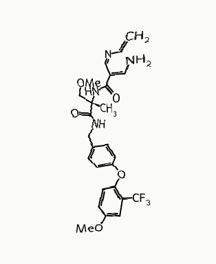 C=C/N=C\C(=C/N)C(=O)N[C@@](C)(COC)C(=O)NCc1ccc(Oc2ccc(OC)cc2C(F)(F)F)cc1